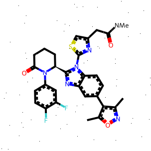 CNC(=O)Cc1csc(-n2c([C@@H]3CCCC(=O)N3c3ccc(F)c(F)c3)nc3cc(-c4c(C)noc4C)ccc32)n1